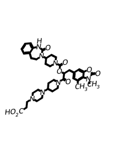 Cc1cc(CC(OC(=O)N2CCC(N3CCc4ccccc4NC3=O)CC2)C(=O)N2CCC(N3CCN(CCC(=O)O)CC3)CC2)cc2oc(=O)n(C)c12